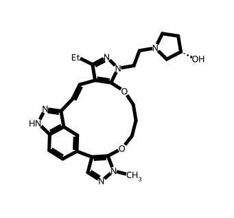 CCc1nn(CCN2CC[C@H](O)C2)c2c1/C=C/c1n[nH]c3ccc(cc13)-c1cnn(C)c1OCCCO2